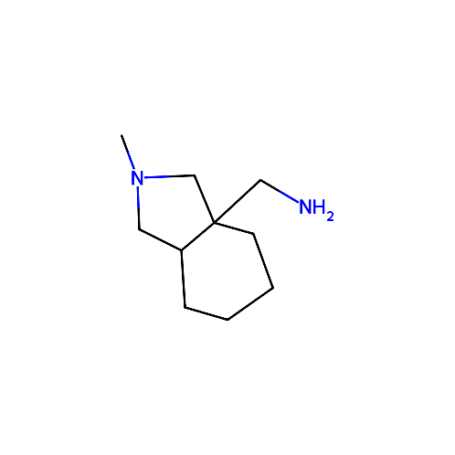 CN1CC2CCCCC2(CN)C1